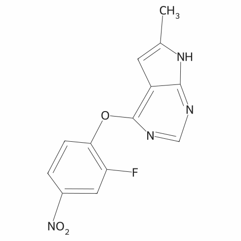 Cc1cc2c(Oc3ccc([N+](=O)[O-])cc3F)ncnc2[nH]1